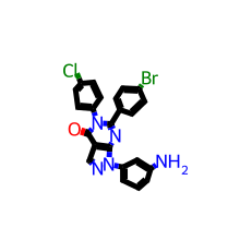 Nc1cccc(-n2ncc3c(=O)n(-c4ccc(Cl)cc4)c(-c4ccc(Br)cc4)nc32)c1